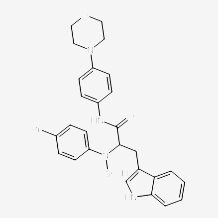 O=C(Nc1ccc(N2CCOCC2)cc1)C(Cc1c[nH]c2ccccc12)N(c1ccc(Br)cc1)S(=O)(=O)O